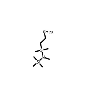 CCCCCCCC[Si](C)(C)N(C)[Si](C)(C)C